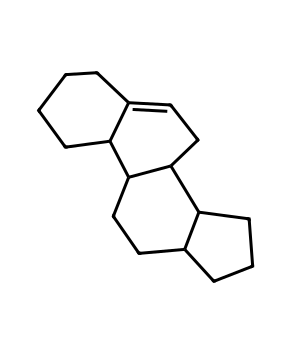 C1=C2CCCCC2C2CCC3CCCC3C2C1